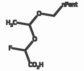 CCCCCCOC(C)OC(F)C(=O)O